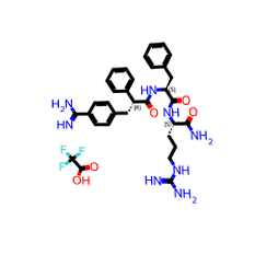 N=C(N)NCCC[C@H](NC(=O)[C@H](Cc1ccccc1)NC(=O)[C@H](Cc1ccc(C(=N)N)cc1)c1ccccc1)C(N)=O.O=C(O)C(F)(F)F